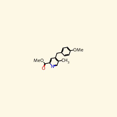 COC(=O)c1cc(Cc2ccc(OC)cc2)c(C)cn1